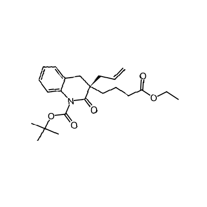 C=CC[C@]1(CCCC(=O)OCC)Cc2ccccc2N(C(=O)OC(C)(C)C)C1=O